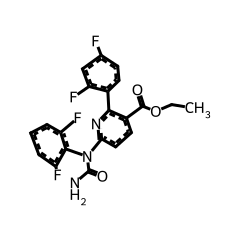 CCOC(=O)c1ccc(N(C(N)=O)c2c(F)cccc2F)nc1-c1ccc(F)cc1F